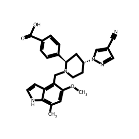 COc1cc(C)c2[nH]ccc2c1CN1CC[C@@H](n2cc(C#N)cn2)C[C@@H]1c1ccc(C(=O)O)cc1